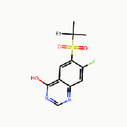 CCC(C)(C)S(=O)(=O)c1cc2c(O)ncnc2cc1F